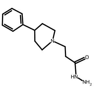 NNC(=O)CCN1CCC(c2ccccc2)CC1